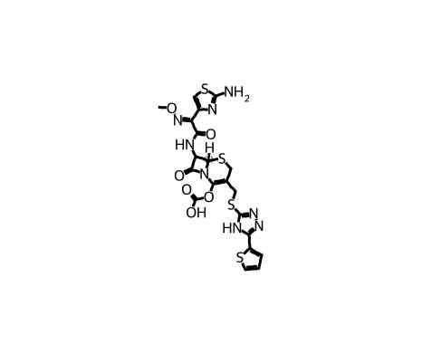 CON=C(C(=O)NC1C(=O)N2C(OC(=O)O)=C(CSc3nnc(-c4cccs4)[nH]3)CS[C@@H]12)c1csc(N)n1